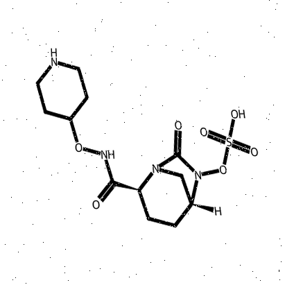 O=C(NOC1CCNCC1)[C@@H]1CC[C@@H]2CN1C(=O)N2OS(=O)(=O)O